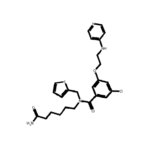 NC(=O)CCCCCN(Cc1cccs1)C(=O)c1cc(Cl)cc(OCCNc2ccncc2)c1